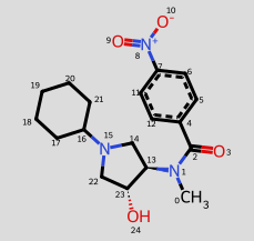 CN(C(=O)c1ccc([N+](=O)[O-])cc1)[C@@H]1CN(C2CCCCC2)C[C@H]1O